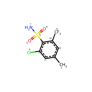 Cc1cc(Cl)c(S(N)(=O)=O)c(C(F)(F)F)c1